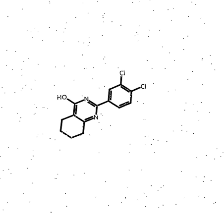 Oc1nc(-c2ccc(Cl)c(Cl)c2)nc2c1CCCC2